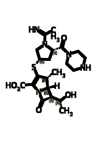 CC(=N)N1C[C@@H](SC2=C(C(=O)O)N3C(=O)[C@H]([C@@H](C)O)[C@H]3[C@H]2C)C[C@H]1C(=O)N1CCNCC1